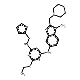 CCOc1nc(NCc2ccco2)nc(Nc2ccc3c(c2)nc(CN2CCOCC2)n3C)n1